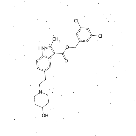 Cc1[nH]c2ccc(CCN3CCC(O)CC3)cc2c1C(=O)OCc1cc(Cl)cc(Cl)c1